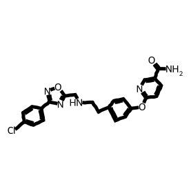 NC(=O)c1ccc(Oc2ccc(CCNCc3nc(-c4ccc(Cl)cc4)no3)cc2)nc1